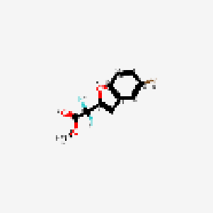 COC(=O)C(F)(F)c1cc2cc(Br)ccc2o1